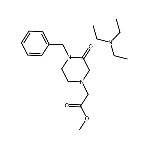 CCN(CC)CC.COC(=O)CN1CCN(Cc2ccccc2)C(=O)C1